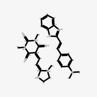 CN(C)c1ccc(/C=C/c2nc3ccccc3o2)cc1.CN1C(=O)C(=C/C=C2/OCCN2C)C(=O)N(C)C1=O